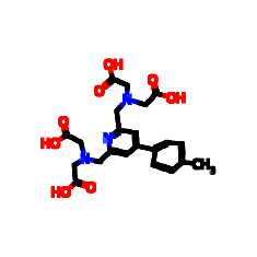 Cc1ccc(-c2cc(CN(CC(=O)O)CC(=O)O)nc(CN(CC(=O)O)CC(=O)O)c2)cc1